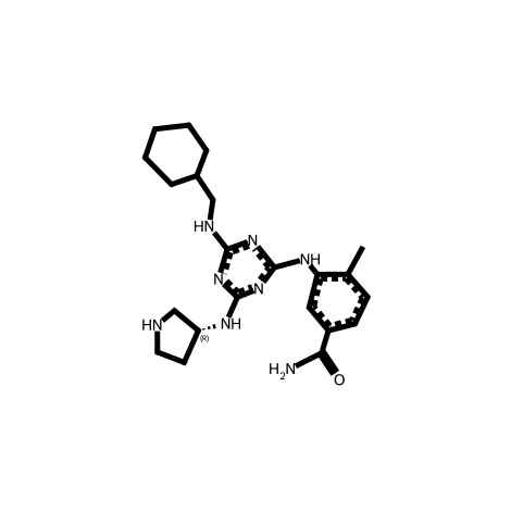 Cc1ccc(C(N)=O)cc1Nc1nc(NCC2CCCCC2)nc(N[C@@H]2CCNC2)n1